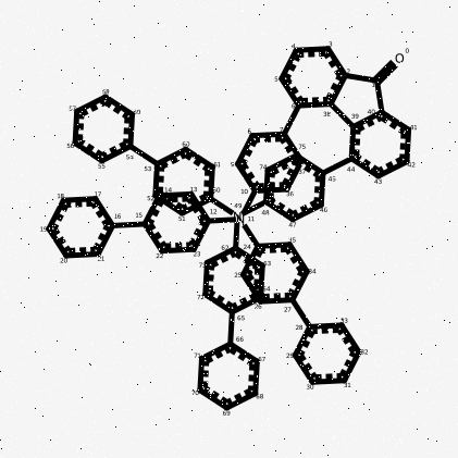 O=C1c2cccc(-c3ccc(N(c4ccc(-c5ccccc5)cc4)c4ccc(-c5ccccc5)cc4)cc3)c2-c2c1cccc2-c1ccc(N(c2ccc(-c3ccccc3)cc2)c2ccc(-c3ccccc3)cc2)cc1